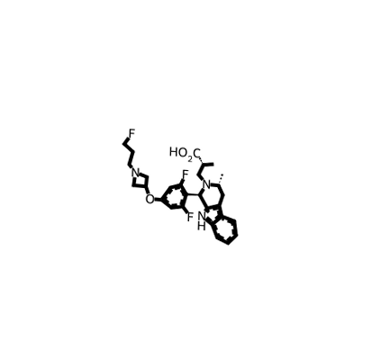 C[C@H](CN1[C@H](c2c(F)cc(OC3CN(CCCF)C3)cc2F)c2[nH]c3ccccc3c2C[C@H]1C)C(=O)O